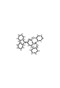 c1ccc2c(c1)Oc1nc(-n3c4ccccc4c4ccccc43)cc3c1B2Oc1ccccc1-3